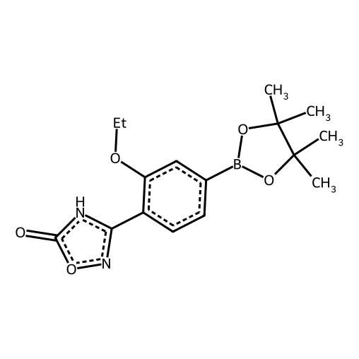 CCOc1cc(B2OC(C)(C)C(C)(C)O2)ccc1-c1noc(=O)[nH]1